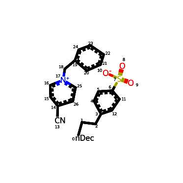 CCCCCCCCCCCCc1ccc(S(=O)(=O)[O-])cc1.N#Cc1cc[n+](Cc2ccccc2)cc1